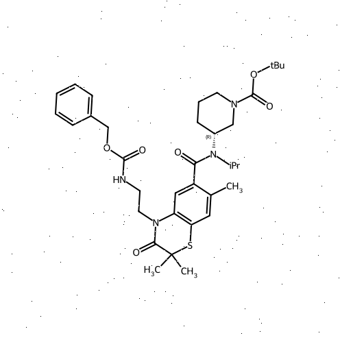 Cc1cc2c(cc1C(=O)N(C(C)C)[C@@H]1CCCN(C(=O)OC(C)(C)C)C1)N(CCNC(=O)OCc1ccccc1)C(=O)C(C)(C)S2